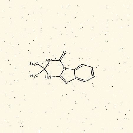 CC1(C)NC(=O)n2c(nc3ccccc32)N1